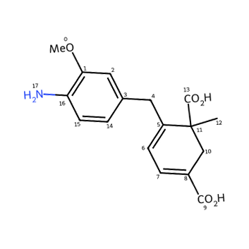 COc1cc(CC2=CC=C(C(=O)O)CC2(C)C(=O)O)ccc1N